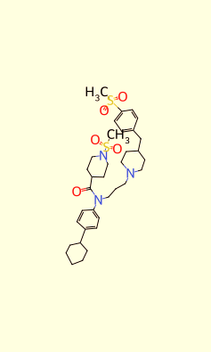 CS(=O)(=O)c1ccc(CC2CCN(CCCN(C(=O)C3CCN(S(C)(=O)=O)CC3)c3ccc(C4CCCCC4)cc3)CC2)cc1